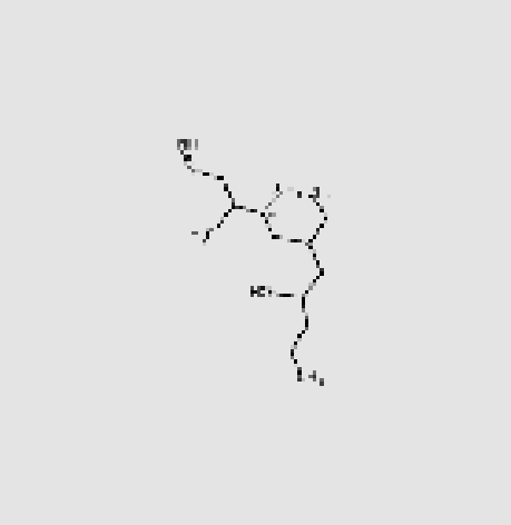 CCCC(O)CC(CC)C[C@@H](C)C(C)CN=N